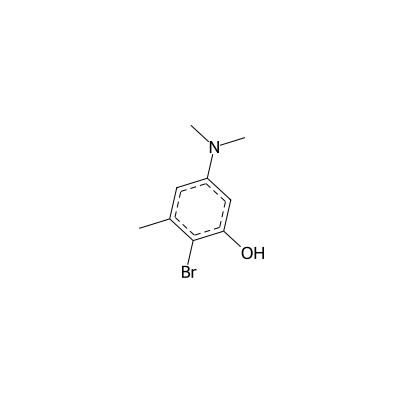 Cc1cc(N(C)C)cc(O)c1Br